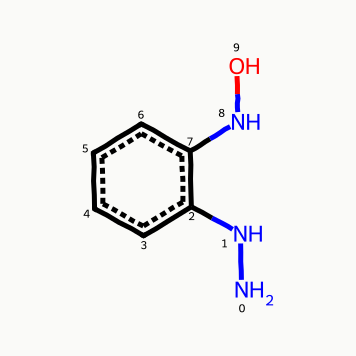 NNc1ccccc1NO